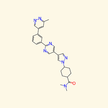 Cc1cc(-c2cccc(-c3ncc(-c4cnn(C5CCC(C(=O)N(C)C)CC5)c4)cn3)c2)cnn1